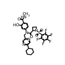 CNC(=O)c1ccc(N(Cc2cnc(C3CCCCC3)cn2)C(=O)C2CCN2S(=O)(=O)c2c(F)c(F)c(F)c(F)c2F)cc1O